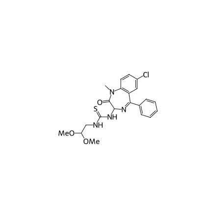 COC(CNC(=S)NC1N=C(c2ccccc2)c2cc(Cl)ccc2N(C)C1=O)OC